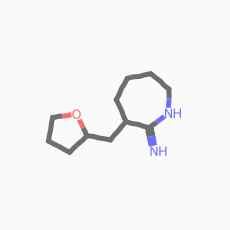 N=C1NCCCCC1CC1CCCO1